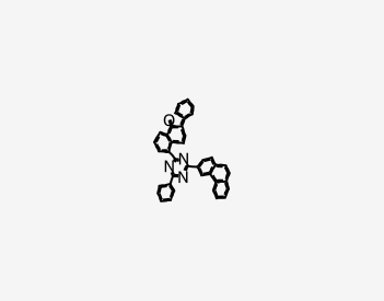 c1ccc(-c2nc(-c3ccc4ccc5ccccc5c4c3)nc(-c3cccc4c3ccc3c5ccccc5oc43)n2)cc1